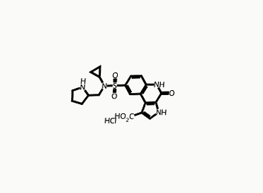 Cl.O=C(O)c1c[nH]c2c(=O)[nH]c3ccc(S(=O)(=O)N(CC4CCCN4)C4CC4)cc3c12